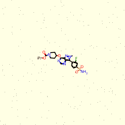 CC(C)OC(=O)N1CCC(Oc2ncnc3c(-c4ccc(S(N)(=O)=O)cc4F)n(C)nc23)CC1